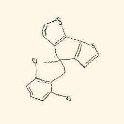 CC1(Cc2c(Cl)cccc2Cl)c2ccsc2-c2sccc21